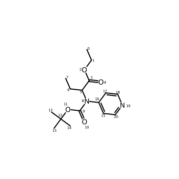 CCOC(=O)C(CC)N(C(=O)OC(C)(C)C)c1ccncc1